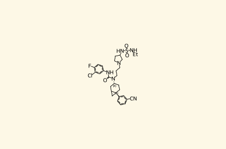 CCNS(=O)(=O)NC1CCN(CCCN(C(=O)Nc2ccc(F)c(Cl)c2)[C@@H]2CC[C@]3(c4cccc(C#N)c4)CC3C2)C1